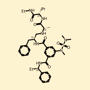 CCNC(=O)[C@@H](NC(=O)[C@H](C)NC[C@H](Cc1ccccc1)NC(=O)c1cc(C(=O)N[C@H](CC)c2ccccc2)cc(N(C)S(=O)(=O)N(C)C)c1)C(C)C